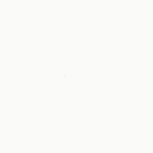 O=C(O)[C@@H]1[C@H]2CCC(C2)N1C(=O)OCc1ccccc1